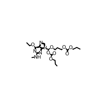 CCCOC(=O)OCCCOC(OC(=O)OCCC)n1cnc2c(OCC)nc(NC)nc21